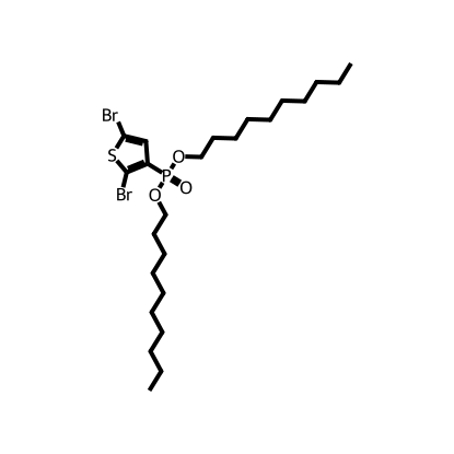 CCCCCCCCCCOP(=O)(OCCCCCCCCCC)c1cc(Br)sc1Br